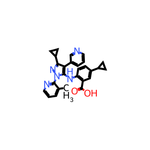 Cc1cccnc1-n1nc(C2CC2)c(-c2cccnc2)c1Nc1ccc(C2CC2)cc1C(=O)O